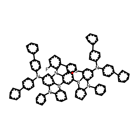 Fc1cccc(-c2ccccc2)c1N1c2cc3c(cc2B2c4ccccc4N(c4ccccc4)c4cc(N(c5ccc(-c6ccccc6)cc5)c5ccc(-c6ccccc6)cc5)cc1c42)B1c2ccccc2N(c2ccccc2)c2cc(N(c4ccc(-c5ccccc5)cc4)c4ccc(-c5ccccc5)cc4)cc(c21)S3